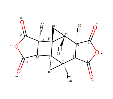 O=C1OC(=O)[C@H]2C1[C@H]1C[C@@]13C1C(=O)OC(=O)[C@H]1[C@@]31C[C@H]21